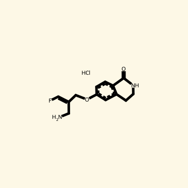 Cl.NC/C(=C\F)COc1ccc2c(c1)CCNC2=O